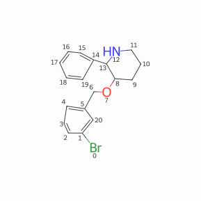 Brc1cccc(COC2CCCNC2c2ccccc2)c1